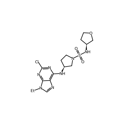 CCn1cnc2c(N[C@H]3CCN(S(=O)(=O)N[C@H]4CCOC4)C3)nc(Cl)nc21